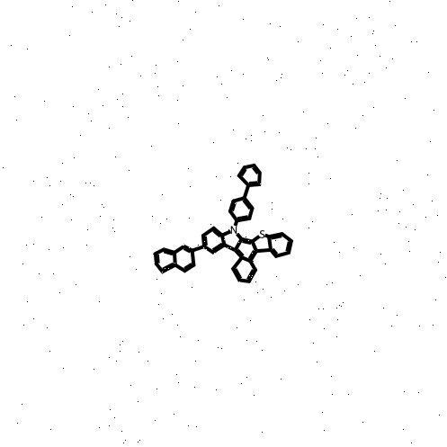 c1ccc(-c2ccc(-n3c4ccc(-c5ccc6ccccc6c5)cc4c4c5ccccc5c5c6ccccc6sc5c43)cc2)cc1